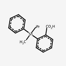 C[CH](C)[Sn]([CH3])([c]1ccccc1)[c]1ccccc1C(=O)O